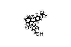 CCN(CC)c1ccc(C(=O)c2ccccc2C(=O)OCC(=O)CO)c(O)c1